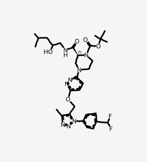 Cc1nnn(-c2ccc(C(F)F)cc2)c1COc1ccc(N2CCN(C(=O)OC(C)(C)C)[C@H](C(=O)NCC(O)CC(C)C)C2)nn1